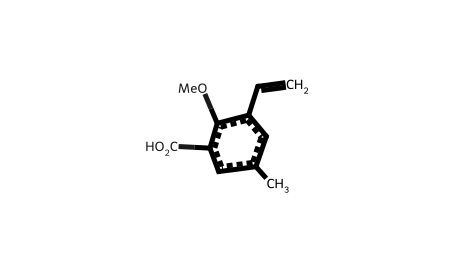 C=Cc1cc(C)cc(C(=O)O)c1OC